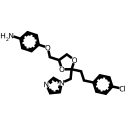 Nc1ccc(OCC2COC(CCc3ccc(Cl)cc3)(Cn3ccnc3)O2)cc1